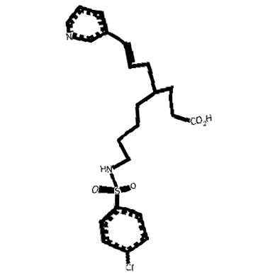 O=C(O)CCC(CC=Cc1cccnc1)CCCCNS(=O)(=O)c1ccc(Cl)cc1